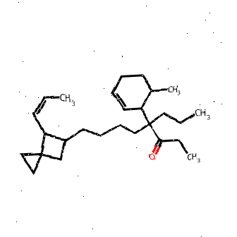 C/C=C\C1C(CCCCC(CCC)(C(=O)CC)C2C=CCCC2C)CC12CC2